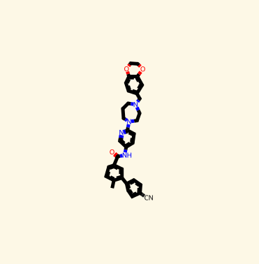 Cc1ccc(C(=O)Nc2ccc(N3CCCN(Cc4ccc5c(c4)OCCO5)CC3)nc2)cc1-c1ccc(C#N)cc1